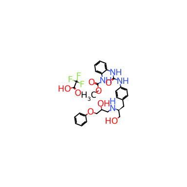 COC(=O)Nc1ccccc1NC(=O)Nc1ccc(C[C@@H](CO)NC[C@H](O)COc2ccccc2)cc1.O=C(O)C(F)(F)F